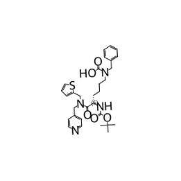 CC(C)(C)OC(=O)N[C@@H](CCCCN(Cc1ccccc1)C(=O)O)C(=O)N(Cc1ccncc1)Cc1cccs1